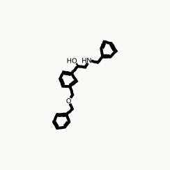 O[C@@H](CNCc1ccccc1)c1cccc(COCc2ccccc2)c1